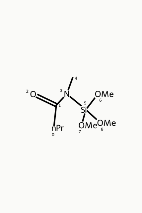 CCCC(=O)N(C)[Si](OC)(OC)OC